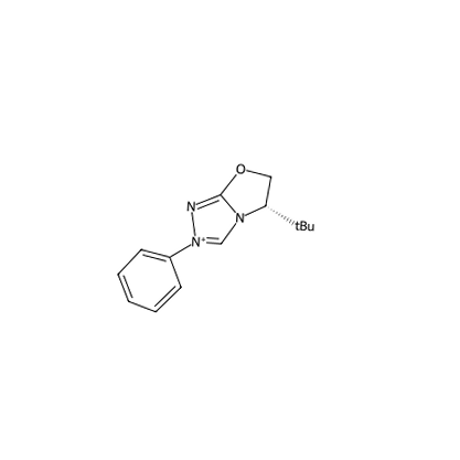 CC(C)(C)[C@H]1COc2n[n+](-c3ccccc3)cn21